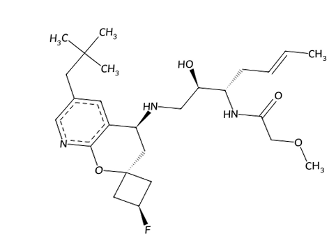 CC=CC[C@H](NC(=O)COC)[C@H](O)CN[C@H]1C[C@]2(C[C@H](F)C2)Oc2ncc(CC(C)(C)C)cc21